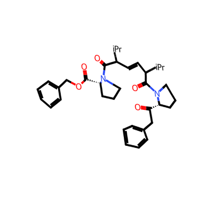 CC(C)C(/C=C/C(C(=O)N1CCC[C@@H]1C(=O)OCc1ccccc1)C(C)C)C(=O)N1CCC[C@@H]1C(=O)Cc1ccccc1